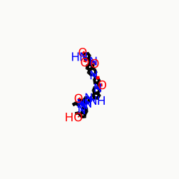 C=CCn1c(=O)c2cnc(Nc3ccc4c(c3)CCN(C(=O)C3CCC(N5CCc6ccc7c(C8CCC(=O)NC8=O)noc7c6CC5)CC3)C4)nc2n1-c1ccc2c(n1)[C@@](O)(CC)CC2